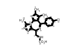 Cc1sc2c(c1C)C(c1ccc(Cl)cc1)=NC(CNC(=O)O)c1nnc(C)n1-2